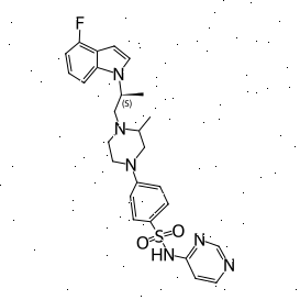 CC1CN(c2ccc(S(=O)(=O)Nc3ccncn3)cc2)CCN1C[C@H](C)n1ccc2c(F)cccc21